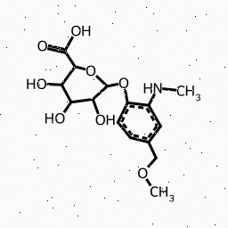 CNc1cc(COC)ccc1OC1OC(C(=O)O)C(O)C(O)C1O